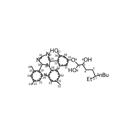 CCCCC(CC)CCC(O)C(O)Oc1ccc(C2=NC=NC(c3ccc(C)cc3C)N2c2ccc(C)cc2C)c(O)c1